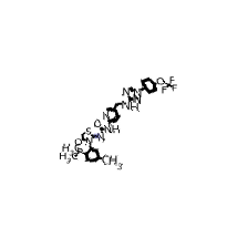 Cc1ccc(P(C)C)c(N2C(=O)CS/C2=N\C(=O)Nc2ccc(CNc3ncn(-c4ccc(OC(F)(F)F)cc4)n3)cn2)c1